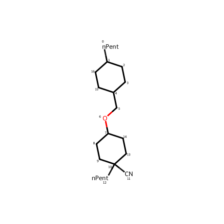 CCCCCC1CCC(COC2CCC(C#N)(CCCCC)CC2)CC1